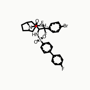 NC1CC2CCC(C1)N2C(=O)C(NS(=O)(=O)c1ccc(-c2ccc(F)cc2)cc1)C(F)(F)c1ccc(Br)cc1